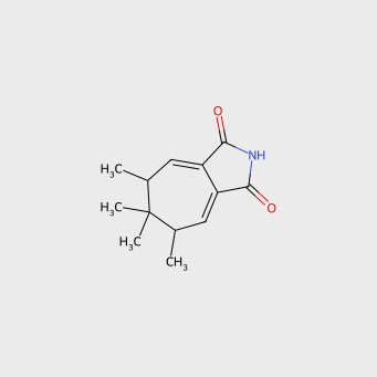 CC1C=C2C(=O)NC(=O)C2=CC(C)C1(C)C